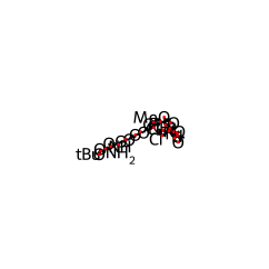 COc1cc2c(cc1-c1cccc(NC(=O)CCOCCOCCOCCOCCNC(=O)[C@H](N)CCC(=O)OC(C)(C)C)c1)-c1c(c(C(=O)N3CCOCC3(C)C)nn1-c1cc(Cl)cc(Cl)c1)CO2